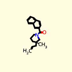 C=CC[C@]1(C)CCCN(C(=O)c2ccc3ccccc3c2)C1